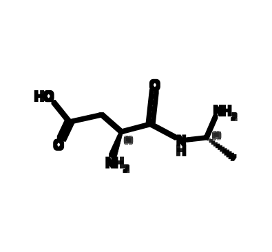 C[C@@H](N)NC(=O)[C@@H](N)CC(=O)O